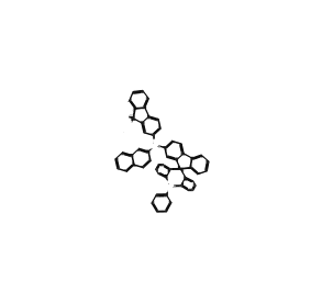 CC1(C)c2ccccc2-c2ccc(N(c3ccc4c(c3)C3(c5ccccc5-4)c4ccccc4N(c4ccccc4)c4ccccc43)c3ccc4ccccc4c3)cc21